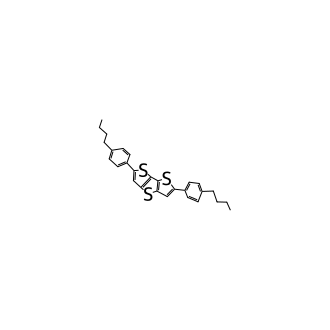 CCCCc1ccc(-c2cc3sc4cc(-c5ccc(CCCC)cc5)sc4c3s2)cc1